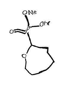 COP(=O)(O)C1CCCCO1